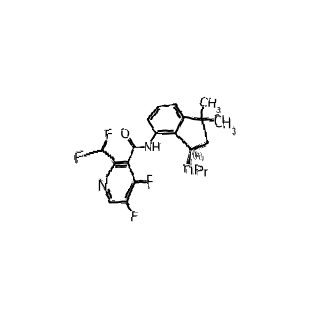 CCC[C@@H]1CC(C)(C)c2cccc(NC(=O)c3c(C(F)F)ncc(F)c3F)c21